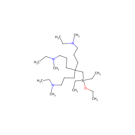 CCO[Si](CC)(CC)CC(CCCN(C)CC)(CCCN(C)CC)CCCN(C)CC